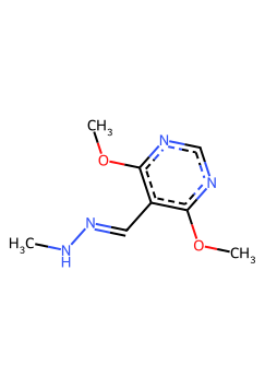 CNN=Cc1c(OC)ncnc1OC